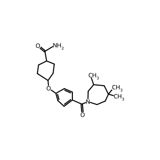 CC1CN(C(=O)c2ccc(OC3CCC(C(N)=O)CC3)cc2)CCC(C)(C)C1